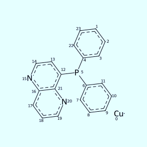 [Cu].c1ccc(P(c2ccccc2)c2ccnc3cccnc23)cc1